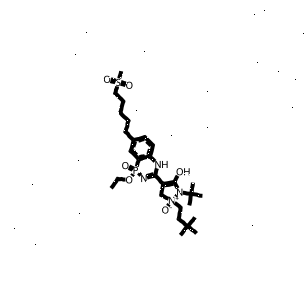 CCOP1(=O)N=C(C2=C(O)N(C(C)(C)C)[N+]([O-])(CCC(C)(C)C)C2)Nc2ccc(CCCCCS(C)(=O)=O)cc21